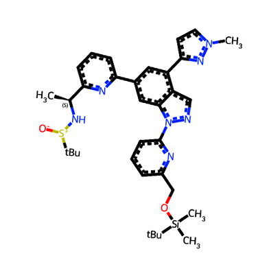 C[C@H](N[S+]([O-])C(C)(C)C)c1cccc(-c2cc(-c3ccn(C)n3)c3cnn(-c4cccc(CO[Si](C)(C)C(C)(C)C)n4)c3c2)n1